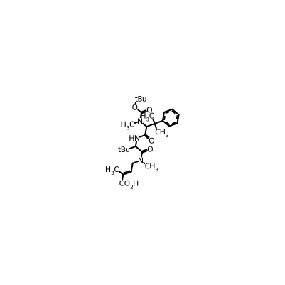 C/C(=C\CN(C)C(=O)C(NC(=O)C(N(C)C(=O)OC(C)(C)C)C(C)(C)c1ccccc1)C(C)(C)C)C(=O)O